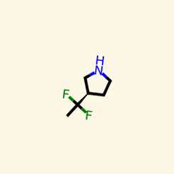 CC(F)(F)[C@@H]1CCNC1